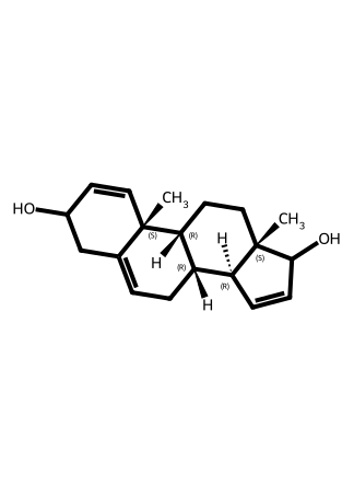 C[C@]12C=CC(O)CC1=CC[C@@H]1[C@H]2CC[C@]2(C)C(O)C=C[C@@H]12